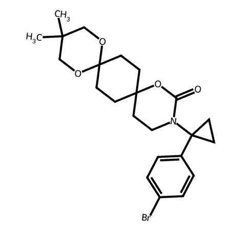 CC1(C)COC2(CCC3(CCN(C4(c5ccc(Br)cc5)CC4)C(=O)O3)CC2)OC1